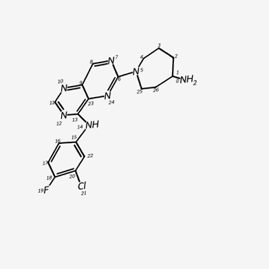 NC1CCCN(c2ncc3ncnc(Nc4ccc(F)c(Cl)c4)c3n2)CC1